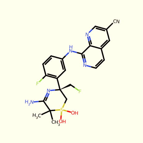 CC1(C)C(N)=N[C@](CF)(c2cc(Nc3nccc4cc(C#N)cnc34)ccc2F)CS1(O)O